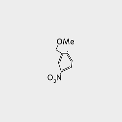 COCc1[c]ccc([N+](=O)[O-])c1